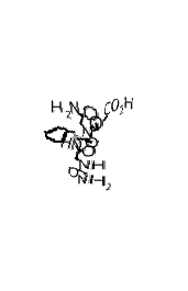 NCC(=O)NCC(=O)N[C@H](Cc1ccccc1)C(=O)N(COCC(=O)O)CC(N)=O